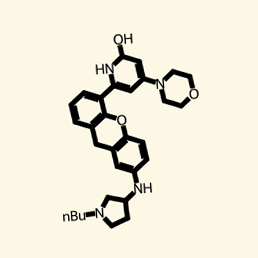 CCCCN1CCC(Nc2ccc3c(c2)Cc2cccc(C4=CC(N5CCOCC5)=CC(O)N4)c2O3)C1